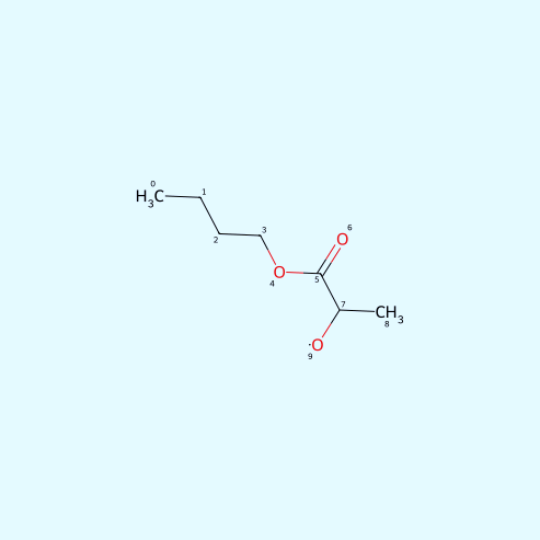 CCCCOC(=O)C(C)[O]